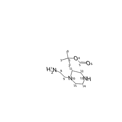 CC(C)(C)OC=O.NCCN1CCNCC1